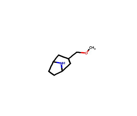 COCC1CC2CCC(C1)N2